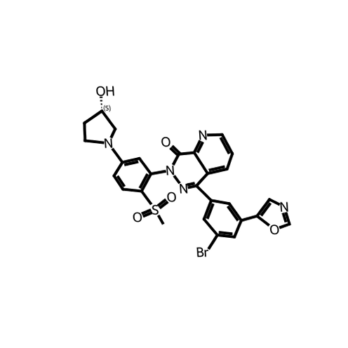 CS(=O)(=O)c1ccc(N2CC[C@H](O)C2)cc1-n1nc(-c2cc(Br)cc(-c3cnco3)c2)c2cccnc2c1=O